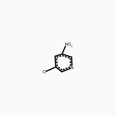 O=[N+]([O-])c1cn[c]c(Cl)c1